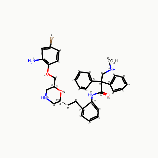 Nc1cc(Br)ccc1OC[C@@H]1CNC[C@@H](CCc2ccccc2NC(=O)C(CNC(=O)O)(c2ccccc2)c2ccccc2)O1